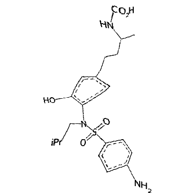 CC(C)CN(c1ccc(CCC(C)NC(=O)O)cc1O)S(=O)(=O)c1ccc(N)cc1